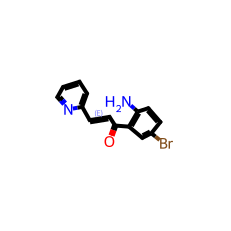 Nc1ccc(Br)cc1C(=O)/C=C/c1ccccn1